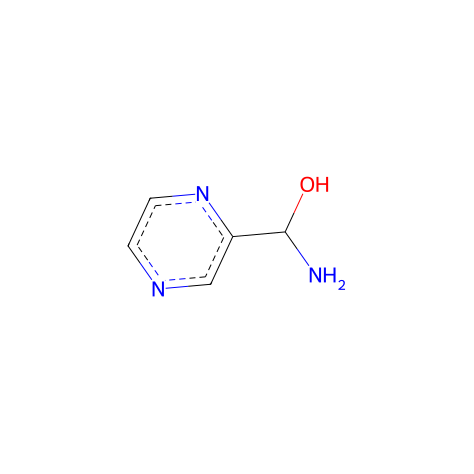 NC(O)c1cnccn1